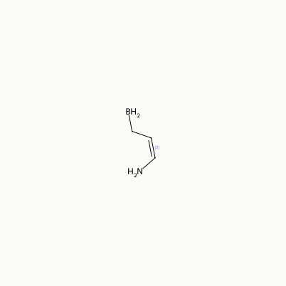 BC/C=C\N